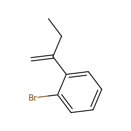 C=C(CC)c1ccccc1Br